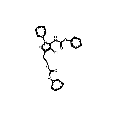 O=C(Nc1c(Cl)c(CCOC(=O)Oc2ccccc2)nn1-c1ccccc1)Oc1ccccc1